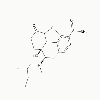 CCC(C)CN(C)[C@@H]1Cc2ccc(C(N)=O)c3c2C2C(O3)C(=O)CC[C@]21O